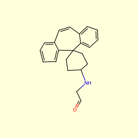 O=CCNC1CCC2(CC1)c1ccccc1C=Cc1ccccc12